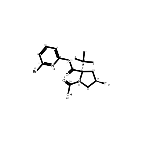 CC(C)(C)[C@]1(C(=O)Nc2cccc(Br)n2)C[C@@H](F)CN1C(=O)O